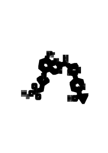 CC(C)c1ccc(N2CC(CS(C)(=O)=O)C2)c2cnc(Nc3cnc(-c4ccc(C5(O)CC5)nc4)s3)nc12